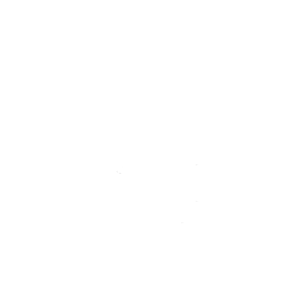 Fc1cc(C2Nc3ccccc3-c3cnnc4[nH]cc2c34)ccc1Cl